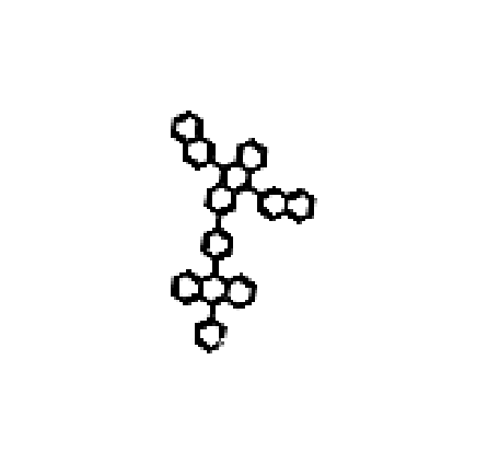 C1=CCC2C(=C1)C(c1ccc3ccccc3c1)=c1ccc(-c3ccc(C4c5ccccc5C(c5cccnc5)=C5CCC=CC54)cc3)cc1=C2c1ccc2ccccc2c1